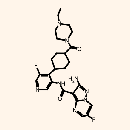 CCN1CCN(C(=O)C2CCC(c3c(F)cncc3NC(=O)c3c(N)nn4cc(F)cnc34)CC2)CC1